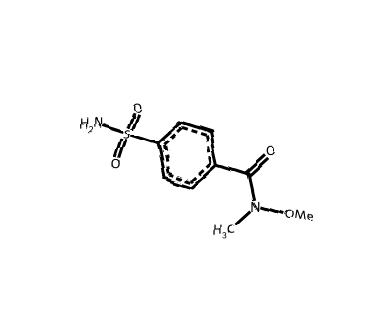 CON(C)C(=O)c1ccc(S(N)(=O)=O)cc1